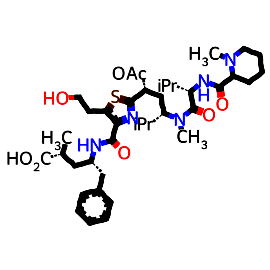 CC(=O)O[C@H](C[C@@H](C(C)C)N(C)C(=O)[C@@H](NC(=O)C1CCCCN1C)C(C)C)c1nc(C(=O)N[C@H](Cc2ccccc2)C[C@@H](C)C(=O)O)c(CCO)s1